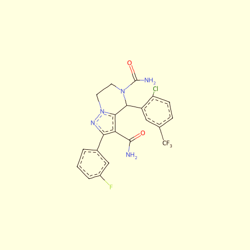 NC(=O)c1c(-c2cccc(F)c2)nn2c1C(c1cc(C(F)(F)F)ccc1Cl)N(C(N)=O)CC2